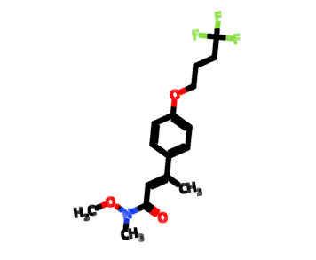 CON(C)C(=O)/C=C(\C)c1ccc(OCCCC(F)(F)F)cc1